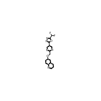 FC(F)c1nnc(-c2cnc(COc3ccc4ncccc4c3)nc2)o1